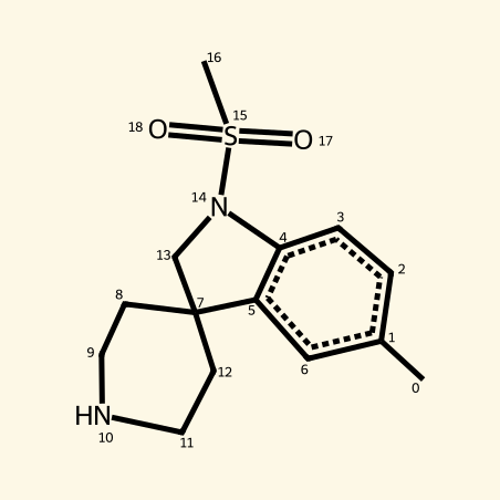 Cc1ccc2c(c1)C1(CCNCC1)CN2S(C)(=O)=O